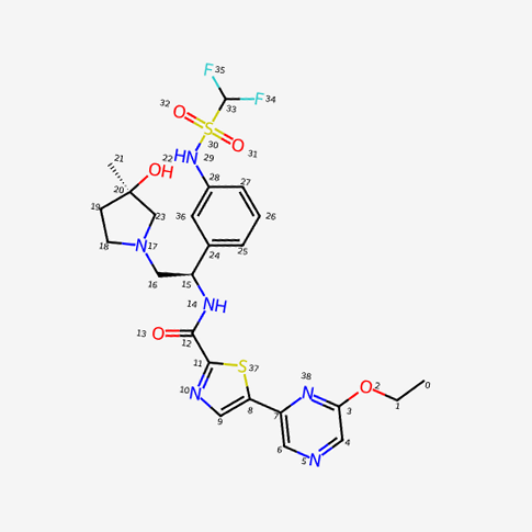 CCOc1cncc(-c2cnc(C(=O)N[C@@H](CN3CC[C@@](C)(O)C3)c3cccc(NS(=O)(=O)C(F)F)c3)s2)n1